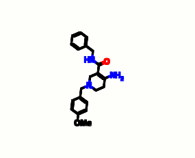 COc1ccc(CN2CCC(N)=C(C(=O)NCc3ccccc3)C2)cc1